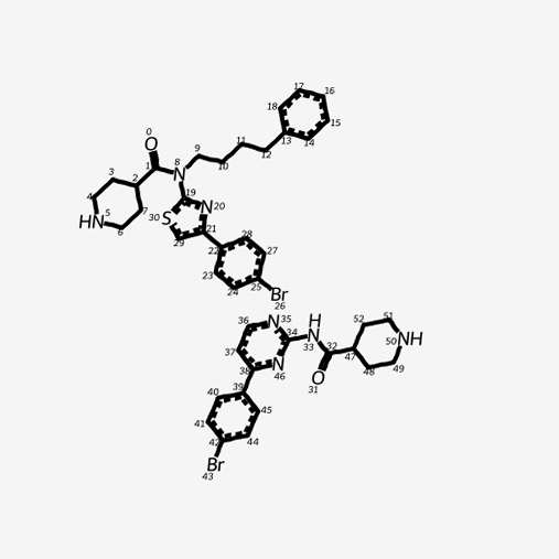 O=C(C1CCNCC1)N(CCCCc1ccccc1)c1nc(-c2ccc(Br)cc2)cs1.O=C(Nc1nccc(-c2ccc(Br)cc2)n1)C1CCNCC1